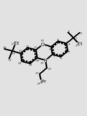 CCC(C)(C)c1ccc2c(c1)Oc1cc(C(C)(C)CC)ccc1N2CCC(C)C